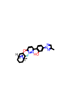 Cc1cnn(-c2ccc(-c3ccc(O[C@@H]4C[C@H]5CCC[C@@](C)([C@@H]4F)N5C)nn3)c(O)c2)n1